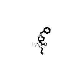 C=CCOC(=O)C1(N)CCN(Cc2ccccc2)CC1